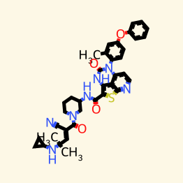 Cc1cc(Oc2ccccc2)ccc1N1C(=O)Nc2c(C(=O)NC3CCCN(C(=O)C(C#N)=CC(C)(C)NC4CC4)C3)sc3nccc1c23